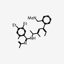 C=C(C)/N=C(/NC(C)/C(C)=C/C(=C\C)c1ccccc1CNC)c1cc(CC)c(CC)cc1C